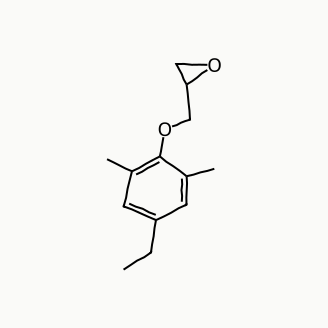 CCc1cc(C)c(OCC2CO2)c(C)c1